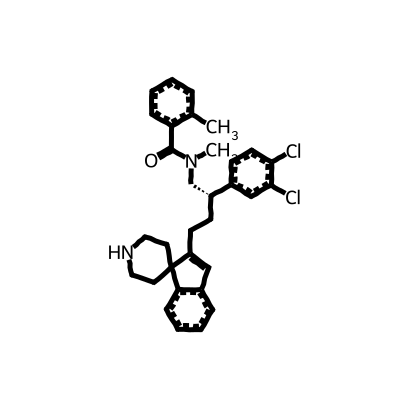 Cc1ccccc1C(=O)N(C)C[C@@H](CCC1=Cc2ccccc2C12CCNCC2)c1ccc(Cl)c(Cl)c1